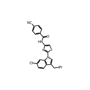 CC(C)Cc1cn(-c2nc(NC(=O)c3ccc(C#N)cc3)cs2)c2cc(Cl)ccc12